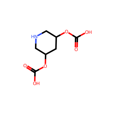 O=C(O)OC1CNCC(OC(=O)O)C1